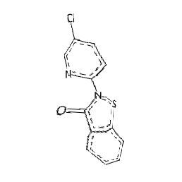 O=c1c2ccccc2sn1-c1ccc(Cl)cn1